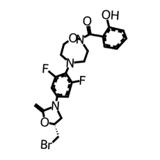 C=C1O[C@@H](CBr)CN1c1cc(F)c(N2CCON(C(=O)c3ccccc3O)CC2)c(F)c1